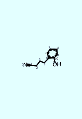 N#CCCCc1ccccc1O